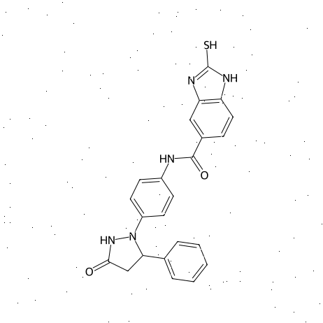 O=C1CC(c2ccccc2)N(c2ccc(NC(=O)c3ccc4[nH]c(S)nc4c3)cc2)N1